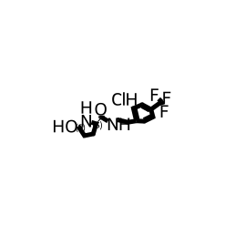 Cl.O=C(NCCc1ccc(C(F)(F)F)cc1)[C@@H]1CC[C@H](O)N1